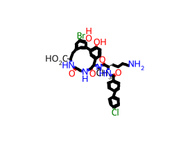 CN(C(=O)[C@H](CCCCN)NC(=O)c1ccc(-c2ccc(Cl)cc2)cc1)C1C(=O)NCC(=O)N[C@H](C(=O)O)Cc2cc(Br)c(O)c(c2)-c2cc1ccc2O